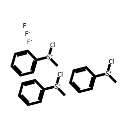 C[S+](Cl)c1ccccc1.C[S+](Cl)c1ccccc1.C[S+](Cl)c1ccccc1.[F-].[F-].[F-]